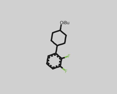 CC(C)COC1CCC(c2cccc(F)c2F)CC1